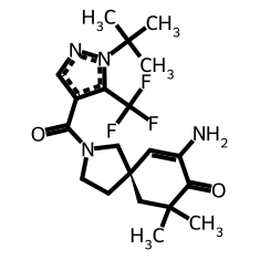 CC1(C)C[C@@]2(C=C(N)C1=O)CCN(C(=O)c1cnn(C(C)(C)C)c1C(F)(F)F)C2